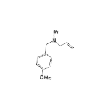 C=CCN(Cc1ccc(OC)cc1)C(C)C